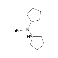 CCCN(C1CCCC1)[SiH]1CCCC1